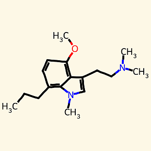 CCCc1ccc(OC)c2c(CCN(C)C)cn(C)c12